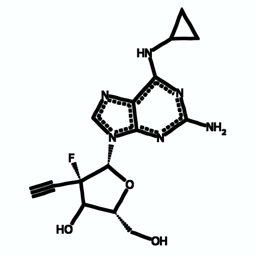 C#C[C@]1(F)C(O)[C@@H](CO)O[C@H]1n1cnc2c(NC3CC3)nc(N)nc21